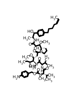 C/C=C\CCCCc1ccc([C@@H](O)[C@@H](C)NC(=O)[C@H](C)[C@@H](OC)[C@@H]2CCCN2C(=O)C[C@@H](OC)[C@H]([C@@H](C)CC)N(C)C(=O)[C@@H](NC(=O)[C@H](C(C)C)N(C)C(=O)OCc2ccc(N)cc2)C(C)C)cc1